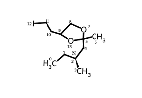 CC[C@H](C)CC1(C)OCC(CCI)O1